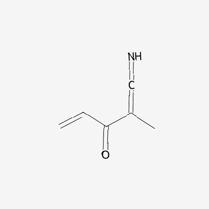 C=CC(=O)C(C)=C=N